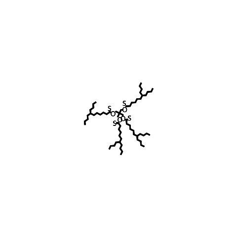 CCCCC(CCCC)CCCCCC(=S)OCC(COC(=S)CCCCCC(CCCC)CCCC)(COC(=S)CCCCCC(CCCC)CCCC)COC(=S)CCCCCC(CCCC)CCCC